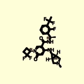 C[C@@H](NC(=O)c1cn([C@H]2CCC2(F)F)c(=O)cc1NC1[C@H]2CN(C)C[C@@H]12)c1cccc(C(C)(F)F)c1F